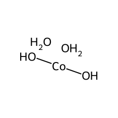 O.O.[OH][Co][OH]